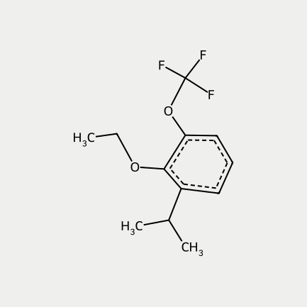 CCOc1c(OC(F)(F)F)cccc1C(C)C